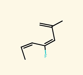 C=C(C)/C=C(F)\C=C/C